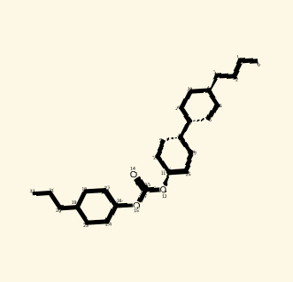 CCCC[C@H]1CC[C@H]([C@H]2CC[C@H](OC(=O)OC3CCC(CCC)CC3)CC2)CC1